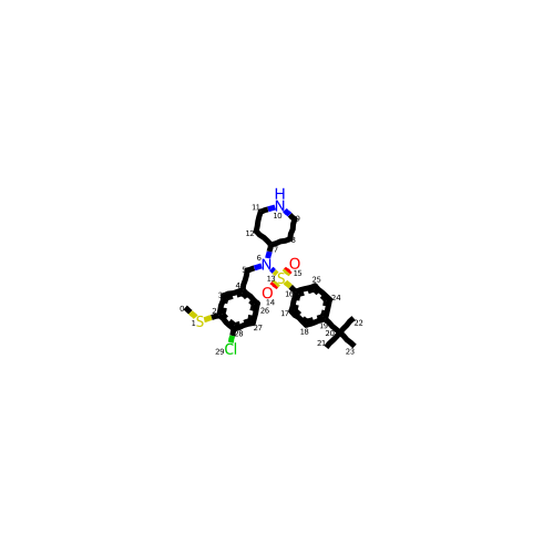 CSc1cc(CN(C2CCNCC2)S(=O)(=O)c2ccc(C(C)(C)C)cc2)ccc1Cl